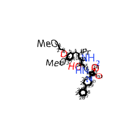 COCCCOc1cc(C[C@@H](C[C@H](N)[C@@H](O)CNc2c(N3CCC(c4ccccc4)CC3)c(=O)c2=O)C(C)C)ccc1OC